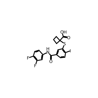 O=C(Nc1ccc(F)c(F)c1)c1ccc(I)c(SC2(C(=O)O)CCC2)c1